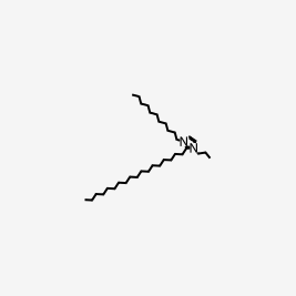 CCCCCCCCCCCCCCCCCCc1n(CCC)cc[n+]1CCCCCCCCCCC